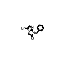 O=C1Cn2c(Br)cnc2N1Cc1ccccc1